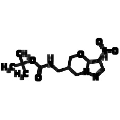 CC(C)(C)OC(=O)NCC1COc2c([SH](=O)=O)cnn2C1